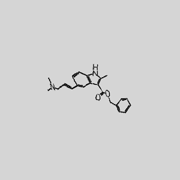 Cc1[nH]c2ccc(C=CCN(C)C)cc2c1C(=O)OCc1ccccc1